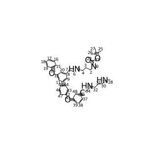 CN(CCCNCCc1cccc(Oc2ccccc2)c1)C(=O)OC(C)(C)C.CNCCCNCCc1cccc(Oc2ccccc2)c1